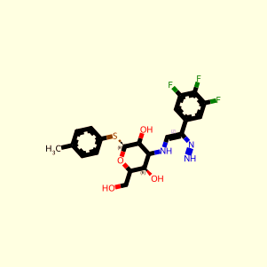 Cc1ccc(S[C@H]2OC(CO)[C@H](O)C(N/C=C(\N=N)c3cc(F)c(F)c(F)c3)C2O)cc1